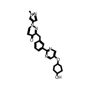 Cn1cc(-n2ccc(=O)c(Cc3cccc(-c4ncc(OC5CCC(O)CC5)cn4)c3)n2)cn1